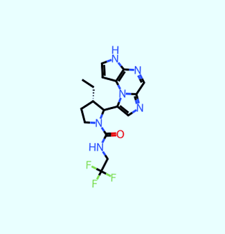 CC[C@H]1CCN(C(=O)NCC(F)(F)F)C1c1cnc2cnc3[nH]ccc3n12